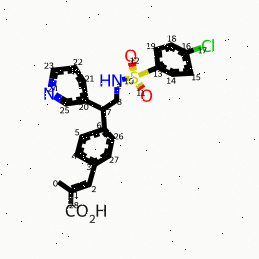 CC(=Cc1ccc(C(CNS(=O)(=O)c2ccc(Cl)cc2)c2cccnc2)cc1)C(=O)O